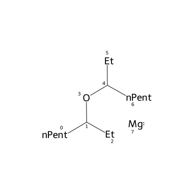 CCCCCC(CC)OC(CC)CCCCC.[Mg]